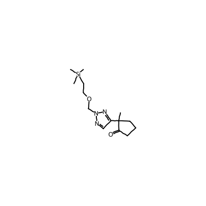 CC1(c2cnn(COCC[Si](C)(C)C)n2)CCCC1=O